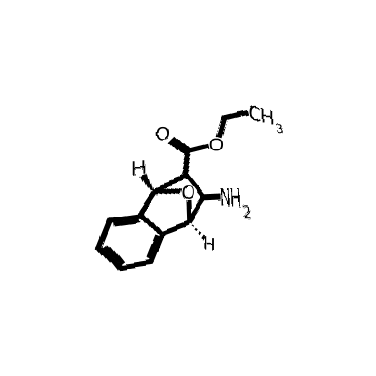 CCOC(=O)C1C(N)[C@@H]2O[C@@H]1c1ccccc12